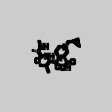 CN[C@@H](C)C(=O)N[C@H](C(=O)N1CCN(CC2CC2)C[C@H]1C(=O)O)C(C)C